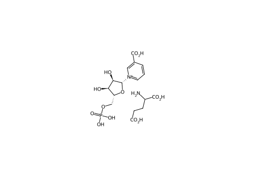 NC(CCC(=O)O)C(=O)O.O=C(O)c1ccc[n+]([C@@H]2O[C@H](COP(=O)(O)O)[C@@H](O)[C@H]2O)c1